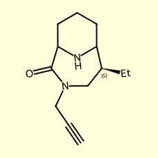 C#CCN1C[C@H](CC)C2CCCC(N2)C1=O